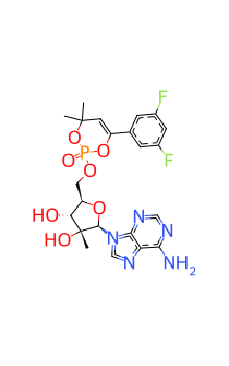 CC1(C)C=C(c2cc(F)cc(F)c2)OP(=O)(OC[C@H]2O[C@@H](n3cnc4c(N)ncnc43)[C@](C)(O)[C@@H]2O)O1